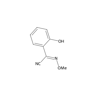 CON=C(C#N)c1ccccc1O